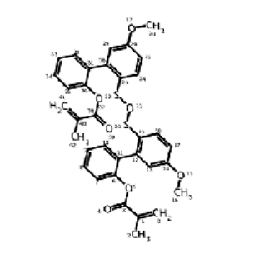 C=C(C)C(=O)Oc1ccccc1-c1cc(OC)ccc1SOSc1ccc(OC)cc1-c1ccccc1OC(=O)C(=C)C